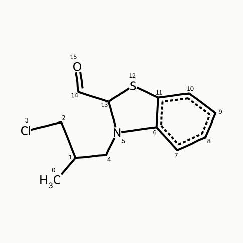 CC(CCl)CN1c2ccccc2SC1C=O